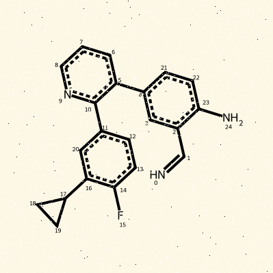 N=Cc1cc(-c2cccnc2-c2ccc(F)c(C3CC3)c2)ccc1N